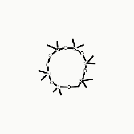 C[Si]1(C)CO[Si](C)(C)O[Si](C)(C)O[Si](C)(C)O[Si](C)(C)CO[Si](C)(C)O1